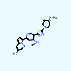 CC(=O)N[C@H]1CCN(c2nnc(-c3cnc(-c4ccc5cc(C#N)cnn45)cc3NC(C)C)s2)CC1(F)F